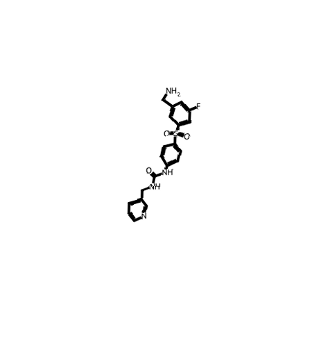 NCc1cc(F)cc(S(=O)(=O)c2ccc(NC(=O)NCc3cccnc3)cc2)c1